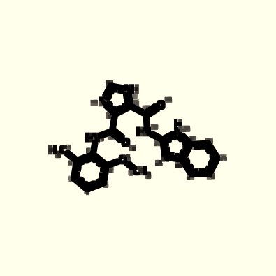 COc1cccc(C)c1NC(=O)c1nc[nH]c1C(=O)Nc1nc2ccccc2[nH]1